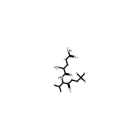 CC(C)C(NC(=O)C(N)CCC(=O)O)C(=O)CCC(C)(C)C